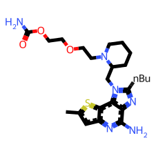 CCCCc1nc2c(N)nc3cc(C)sc3c2n1CC1CCCCN1CCOCCOC(N)=O